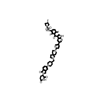 O=C1CCC(N2Cc3cc(N4CCC(CN5CCC6(CCN(c7ccc(-c8cnc9[nH]cc(C(=O)c%10c(F)ccc(NS(=O)(=O)N%11CC[C@@H](F)C%11)c%10F)c9c8)cn7)CC6)C5)CC4)ccc3C2=O)C(=O)N1